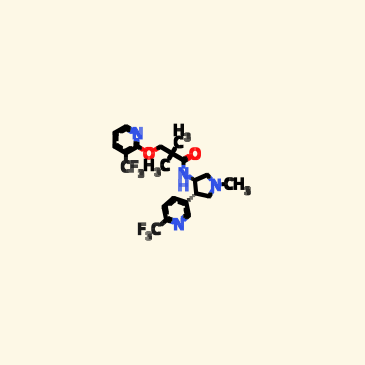 CN1C[C@H](NC(=O)C(C)(C)COc2ncccc2C(F)(F)F)[C@@H](c2ccc(C(F)(F)F)nc2)C1